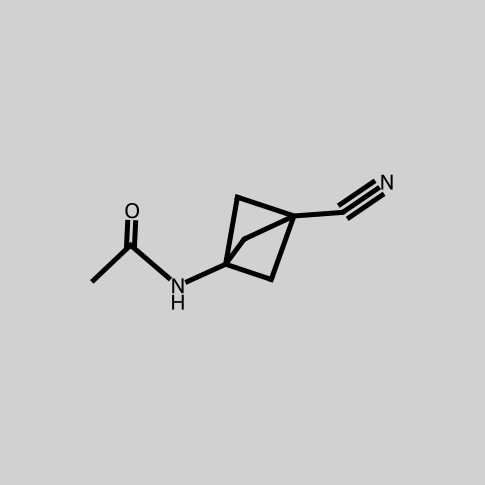 CC(=O)NC12CC(C#N)(C1)C2